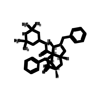 CC1(C)CC(NC(=O)[C@]23NC(=O)[C@@H]4C[C@H]2CN(Cc2ccccc2)[C@H]3[C@@H]4Cc2ccccc2)CC(C)(C)N1